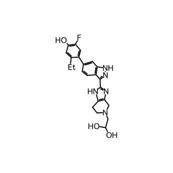 CCc1cc(O)c(F)cc1-c1ccc2c(-c3nc4c([nH]3)CCN(CC(O)O)C4)n[nH]c2c1